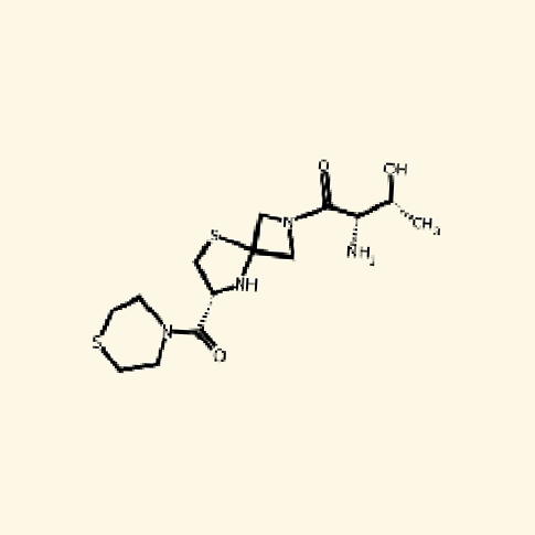 C[C@@H](O)[C@H](N)C(=O)N1CC2(C1)N[C@H](C(=O)N1CCSCC1)CS2